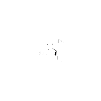 C=C[Si](C)(OCC(C)C)OCC(C)C